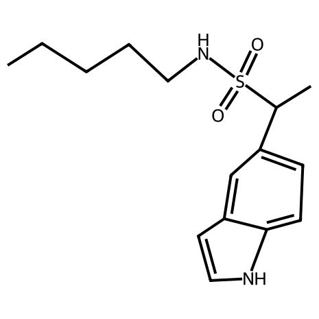 CCCCCNS(=O)(=O)C(C)c1ccc2[nH]ccc2c1